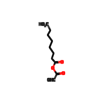 O=CC(=O)OC(=O)CCCCCCC(=O)O